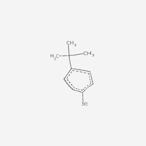 CC(C)(C)c1cc[c]([Sn])cc1